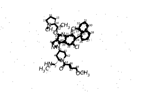 CNC[C@@H]1C[C@@H](n2ncc3c(O[C@@H](C)[C@@H]4CCCN4C)nc4c(F)c(-c5cccc6cccc(Cl)c56)c(Cl)cc4c32)CCN1C(=O)/C=C/COC